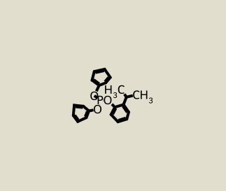 CC(C)c1ccccc1OP(Oc1ccccc1)Oc1ccccc1